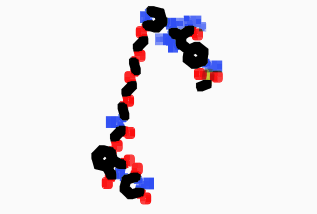 CCS(=O)(=O)Nc1ccc(-c2n[nH]c(Nc3ccnc(OCCOCCOCCOCCNC(=O)COc4cccc5c4C(=O)N(C4CCC(=O)NC4=O)C5=O)c3)c2C(N)=O)cc1